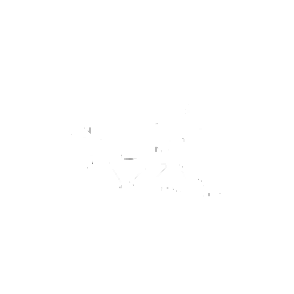 CCC[C@H](C)Nc1ncc(-c2ccc(C[C@H]3CCNC3)cn2)c(N[C@H]2CC[C@H](O)CC2)n1